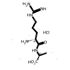 C[C@H](NC(=O)[C@H](N)CCCNC(=N)N)C(=O)O.Cl